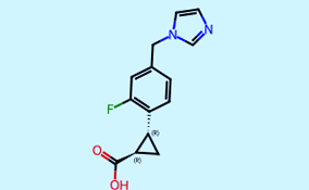 O=C(O)[C@@H]1C[C@H]1c1ccc(Cn2ccnc2)cc1F